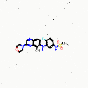 CS(=O)(=O)Nc1ccc(F)c(Nc2ccc3ncc(N4CCOCC4)nc3c2C#N)c1